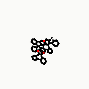 c1ccc(N(c2ccc3c4ccccc4c4ccccc4c3c2)c2cccc3c2C2(c4ccccc4-c4ccccc42)c2ccccc2-3)c(-c2cccc3sc4ccccc4c23)c1